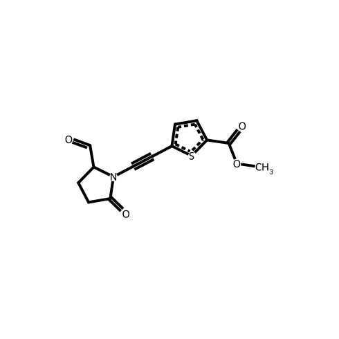 COC(=O)c1ccc(C#CN2C(=O)CCC2C=O)s1